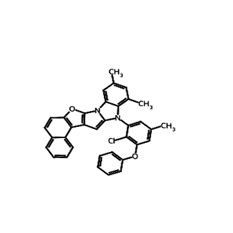 Cc1cc(Oc2ccccc2)c(Cl)c(-n2c3c(C)cc(C)cc3n3c4oc5ccc6ccccc6c5c4cc23)c1